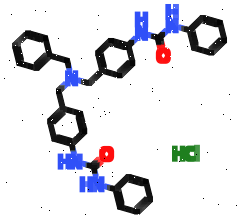 Cl.O=C(Nc1ccccc1)Nc1ccc(CN(Cc2ccccc2)Cc2ccc(NC(=O)Nc3ccccc3)cc2)cc1